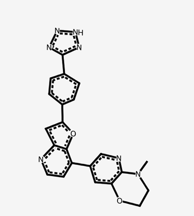 CN1CCOc2cc(-c3ccnc4cc(-c5ccc(-c6nn[nH]n6)cc5)oc34)cnc21